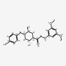 COc1cc(OC)cc(OCC(=O)N2C[C@H](C)N(Cc3ccc(F)cc3)C[C@H]2C)c1